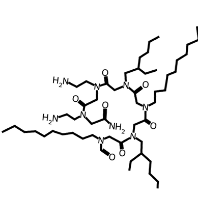 CCCCCCCCCCN(C=O)CC(=O)N(CC(=O)N(CCCCCCCCCC)CC(=O)N(CC(=O)N(CCN)CC(=O)N(CCN)CC(N)=O)CC(CC)CCCC)CC(CC)CCCC